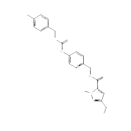 CCc1cc(C(=O)NCc2ccc(NC(=O)OCc3ccc(Cl)cc3)cc2)n(C)n1